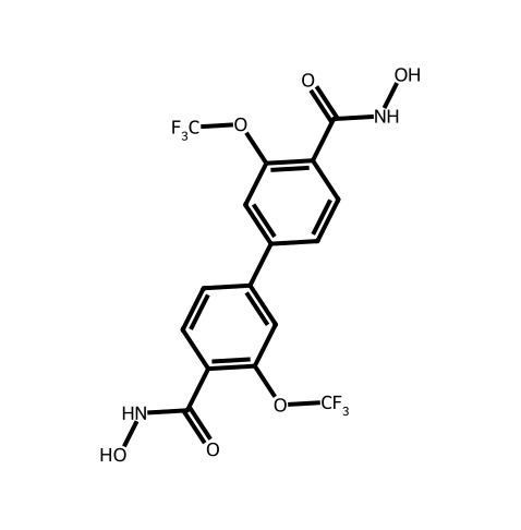 O=C(NO)c1ccc(-c2ccc(C(=O)NO)c(OC(F)(F)F)c2)cc1OC(F)(F)F